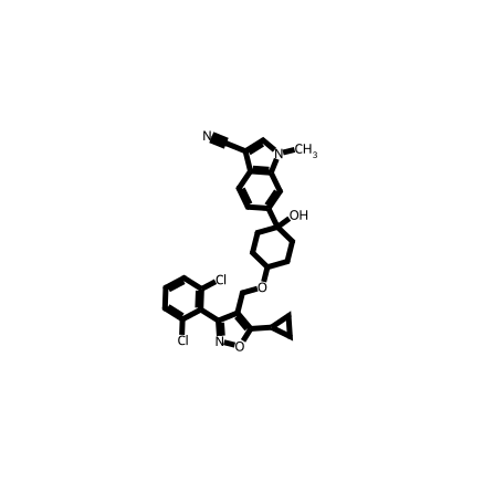 Cn1cc(C#N)c2ccc(C3(O)CCC(OCc4c(-c5c(Cl)cccc5Cl)noc4C4CC4)CC3)cc21